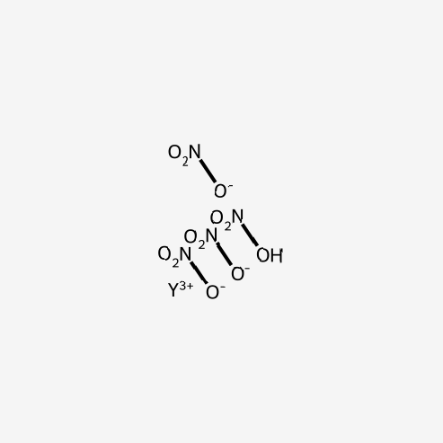 O=[N+]([O-])O.O=[N+]([O-])[O-].O=[N+]([O-])[O-].O=[N+]([O-])[O-].[Y+3]